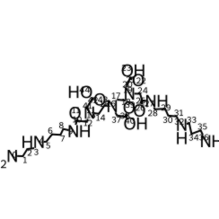 NCCCNCCCCNC(=O)CN(CCN(CCN(CC(=O)O)CC(=O)NCCCCNCCCN)CC(=O)O)CC(=O)O